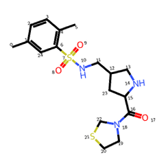 Cc1ccc(C)c(S(=O)(=O)NCC2CNC(C(=O)N3CCSC3)C2)c1